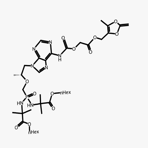 C=C1OC(C)=C(COC(=O)COC(=O)Nc2ncnc3c2ncn3C[C@@H](C)OCP(=O)(NC(C)(C)C(=O)OCCCCCC)NC(C)(C)C(=O)OCCCCCC)O1